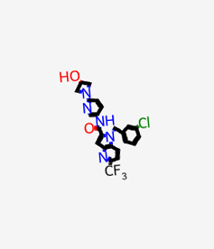 O=C(Nc1ccc(N2CC(O)C2)nc1)c1cc2nc(C(F)(F)F)ccc2n1Cc1cccc(Cl)c1